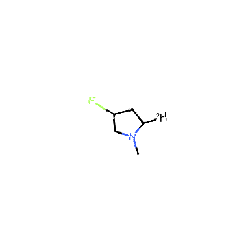 [2H]C1CC(F)CN1C